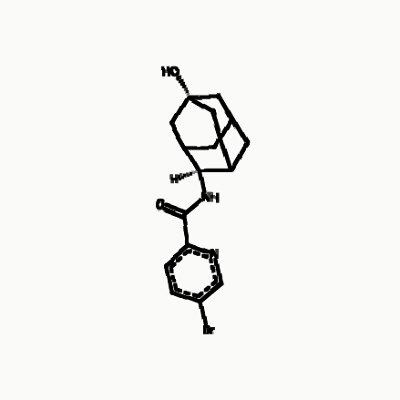 O=C(N[C@H]1C2CC3CC1C[C@](O)(C3)C2)c1ccc(Br)cn1